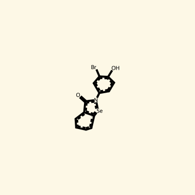 O=c1c2ccccc2[se]n1-c1ccc(O)c(Br)c1